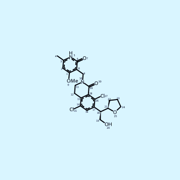 COc1cc(C)[nH]c(=O)c1CN1CCc2c(Cl)cc([C@H](CO)[C@H]3CCCO3)c(Cl)c2C1=O